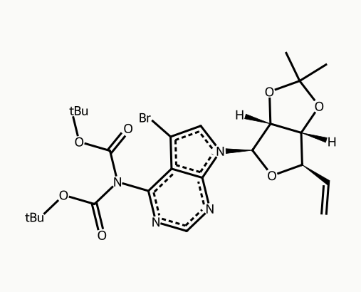 C=C[C@H]1O[C@@H](n2cc(Br)c3c(N(C(=O)OC(C)(C)C)C(=O)OC(C)(C)C)ncnc32)[C@@H]2OC(C)(C)O[C@@H]21